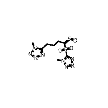 Cn1nnnc1CCCC(=S=O)S(=O)(=O)c1nnnn1C